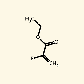 C=C(F)C(=O)OCC